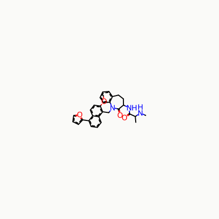 CNC(C)C(=O)NC1CCc2ccccc2N(Cc2c(OC)ccc3c(-c4ccco4)cccc23)C1=O